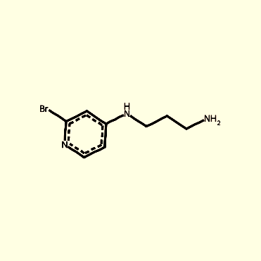 NCCCNc1ccnc(Br)c1